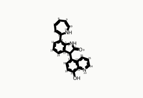 O=C1Nc2c(C3=CC=CC=CN3)cccc2C1c1ccc(O)c2ncccc12